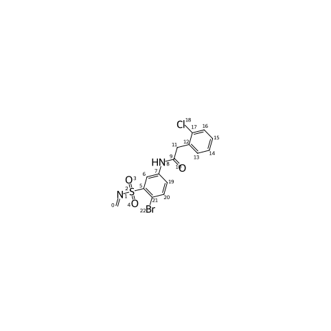 C=NS(=O)(=O)c1cc(NC(=O)Cc2ccccc2Cl)ccc1Br